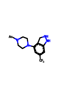 CC(=O)N1CCN(c2cc(C(F)(F)F)cc3c2CNN3)CC1